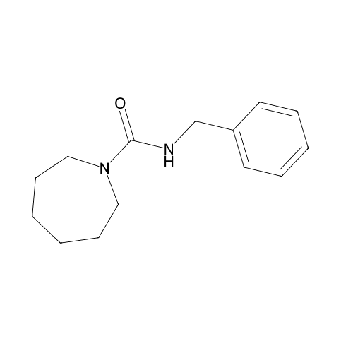 O=C(NCc1ccccc1)N1CCCCCC1